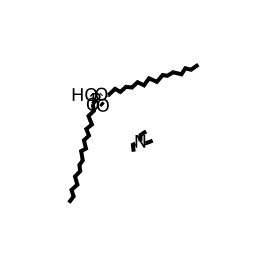 CCCCCCCCCCCCCCCCOP(=O)(O)OCCCCCCCCCCCCCCCC.CCN(CC)CC